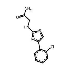 NC(=O)CNc1nc(-c2ccccc2Cl)cs1